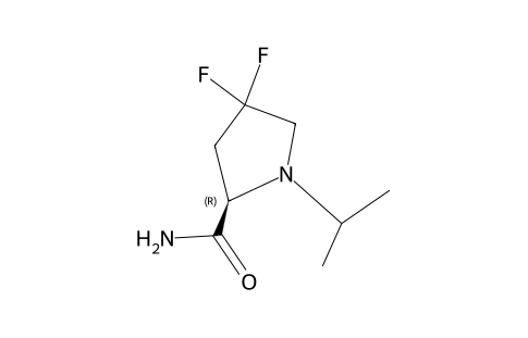 CC(C)N1CC(F)(F)C[C@@H]1C(N)=O